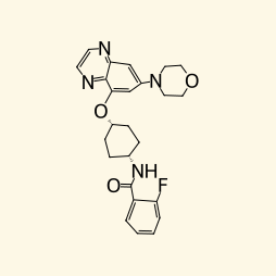 O=C(N[C@H]1CC[C@@H](Oc2cc(N3CCOCC3)cc3nccnc23)CC1)c1ccccc1F